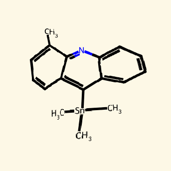 Cc1cccc2[c]([Sn]([CH3])([CH3])[CH3])c3ccccc3nc12